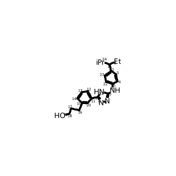 CCC(c1ccc(Nc2nnc(-c3cccc(CCCO)c3)[nH]2)cc1)C(C)C